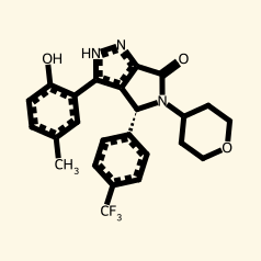 Cc1ccc(O)c(-c2[nH]nc3c2[C@@H](c2ccc(C(F)(F)F)cc2)N(C2CCOCC2)C3=O)c1